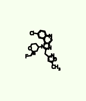 Cc1cc(Cc2nc3cnc4ccc(Cl)cc4c3n2C2CCO[C@H](CF)C2)no1